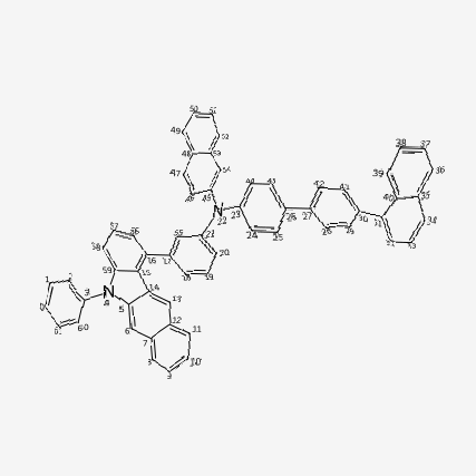 c1ccc(-n2c3cc4ccccc4cc3c3c(-c4cccc(N(c5ccc(-c6ccc(-c7cccc8ccccc78)cc6)cc5)c5ccc6ccccc6c5)c4)cccc32)cc1